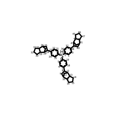 c1cc([SH](c2ccc(C3CC4CC3C3CCCC43)cc2)c2ccc(C3CC4CC3C3CCCC43)cc2)ccc1C1CC2CC1C1CCCC21